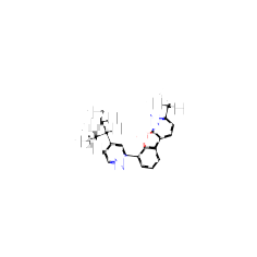 [2H]C([2H])([2H])c1ccc2c(n1)oc1c(-c3cc(C([2H])(C([2H])([2H])[2H])C([2H])([2H])[2H])ccn3)cccc12